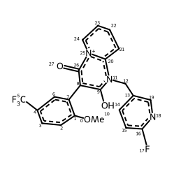 COc1ccc(C(F)(F)F)cc1-c1c(O)n(Cc2ccc(F)nc2)c2cccc[n+]2c1=O